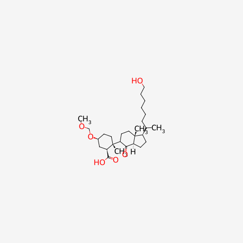 COCO[C@H]1CC[C@](C)(C2CC[C@]3(C)[C@@H](C(C)CCCCCCO)CC[C@H]3C2=O)[C@@H](C(=O)O)C1